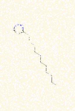 CCCCCCCCSSSc1nncs1